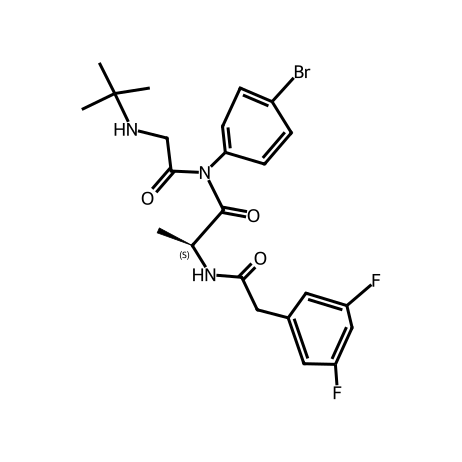 C[C@H](NC(=O)Cc1cc(F)cc(F)c1)C(=O)N(C(=O)CNC(C)(C)C)c1ccc(Br)cc1